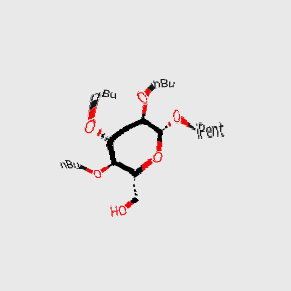 CCCCO[C@@H]1[C@@H](OCCCC)[C@H](O[C@H](C)CCC)O[C@H](CO)[C@H]1OCCCC